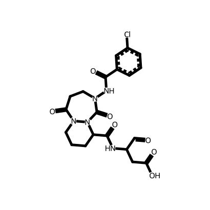 O=CC(CC(=O)O)NC(=O)C1CCCN2C(=O)CCN(NC(=O)c3cccc(Cl)c3)C(=O)N12